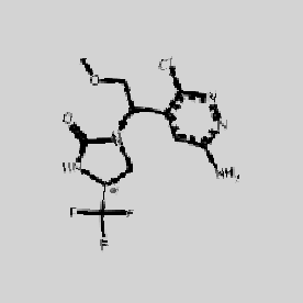 COCC(c1cc(N)nnc1Cl)N1C[C@@H](C(F)(F)F)NC1=O